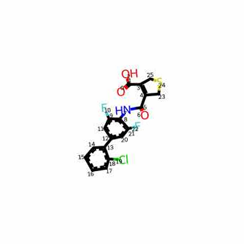 O=C(O)C1=C(C(=O)Nc2c(F)cc(-c3ccccc3Cl)cc2F)CSC1